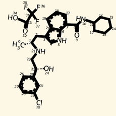 C[C@H](Cc1c[nH]c2c(C(=O)NC3CCCCC3)cccc12)NC[C@H](O)c1cccc(Cl)c1.O=C(O)C(F)(F)F